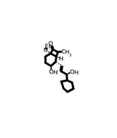 CCO[C@@]12CC[C@H](O)[C@@H](/C=C/[C@@H](O)C3CCCCC3)[C@@H]1C(C)C2=O